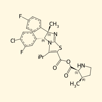 CC(C)C1=C(C(=O)OC(=O)[C@H]2NCC[C@H]2C)SC2=N[C@@](C)(c3ccc(F)cc3)[C@@H](c3ccc(Cl)c(F)c3)N21